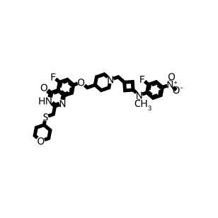 CN(c1ccc([N+](=O)[O-])cc1F)C1CC(CN2CCC(COc3cc(F)c4c(=O)[nH]c(CSC5CCOCC5)nc4c3)CC2)C1